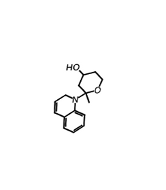 CC1(N2CC=Cc3ccccc32)CC(O)CCO1